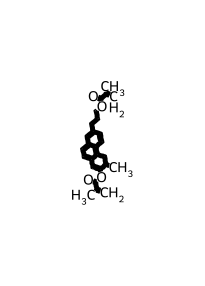 C=C(C)C(=O)OCCCc1ccc2c3c(ccc2c1)C=C(OC(=O)C(=C)C)C(C)C3